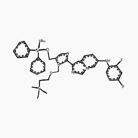 CC(C)(C)[Si](OCc1cnc(-c2ncn3cc(Nc4ccc(F)cc4F)ccc23)n1COCC[Si](C)(C)C)(c1ccccc1)c1ccccc1